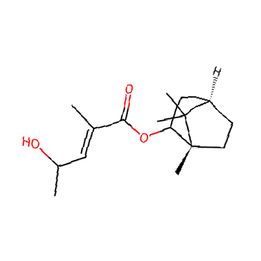 CC(=CC(C)O)C(=O)OC1C[C@H]2CC[C@@]1(C)C2(C)C